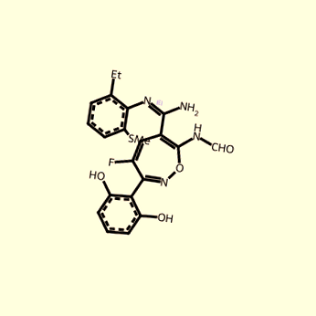 CCc1cccc(SC)c1/N=C(/N)C1=C(NC=O)ON=C(c2c(O)cccc2O)C(F)=C1